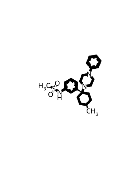 CS(=O)(=O)Nc1cccc([C@]2(N3CCN(c4ccccc4)CC3)CC[C@H](C)CC2)c1